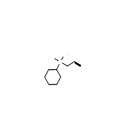 C=CC[Si](O)(CCC)C1CCCCC1